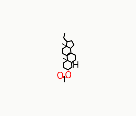 CCC1CCC2C3=C(CC[C@]12C)[C@@]1(C)CC[C@@H](OC(C)=O)C[C@H]1CC3